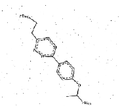 CCCCCCCCCCCCc1ccc(-c2ccc(OC(C)CCCCCC)cc2)nn1